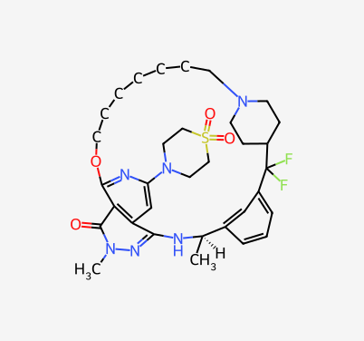 C[C@H]1Nc2nn(C)c(=O)c3c(nc(N4CCS(=O)(=O)CC4)cc23)OCCCCCCCN2CCC(CC2)C(F)(F)c2cccc1c2